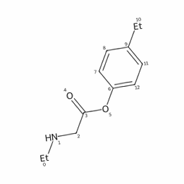 CCNCC(=O)Oc1ccc(CC)cc1